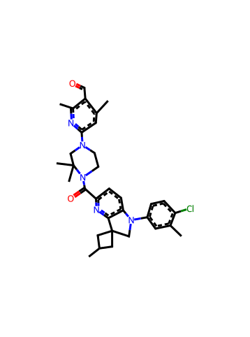 Cc1cc(N2CC3(CC(C)C3)c3nc(C(=O)N4CCN(c5cc(C)c(C=O)c(C)n5)CC4(C)C)ccc32)ccc1Cl